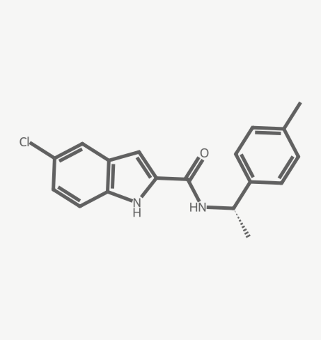 Cc1ccc([C@H](C)NC(=O)c2cc3cc(Cl)ccc3[nH]2)cc1